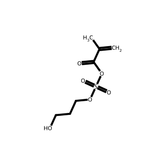 C=C(C)C(=O)OS(=O)(=O)OCCCO